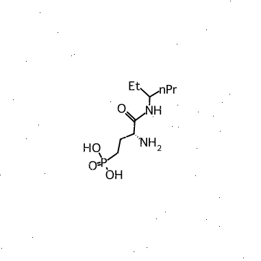 CCCC(CC)NC(=O)[C@H](N)CCP(=O)(O)O